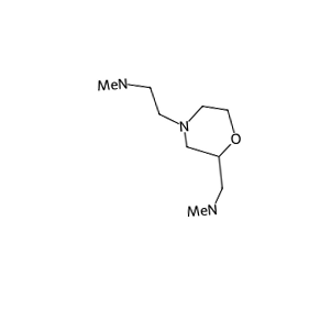 CNCCN1CCOC(CNC)C1